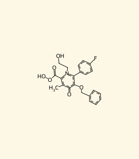 Cc1c(C(=O)OO)n(CCO)c(-c2ccc(F)cc2)c(OCc2ccccc2)c1=O